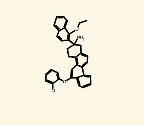 CCOc1c(C2(N)CCc3c(ccc4c3cc(Oc3ccccc3Cl)c3ccccc34)C2)ccc2ccccc12